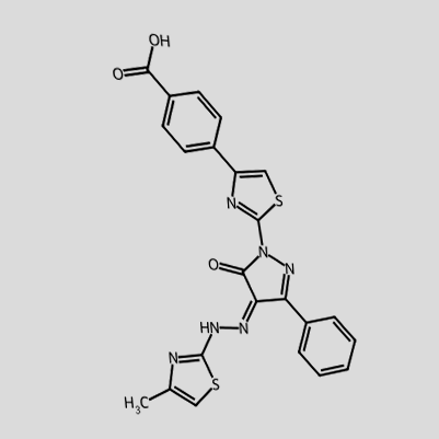 Cc1csc(N/N=C2\C(=O)N(c3nc(-c4ccc(C(=O)O)cc4)cs3)N=C2c2ccccc2)n1